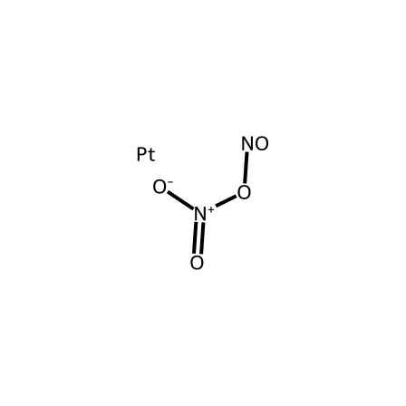 O=NO[N+](=O)[O-].[Pt]